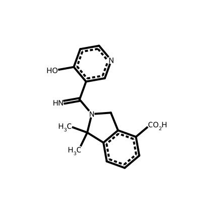 CC1(C)c2cccc(C(=O)O)c2CN1C(=N)c1cnccc1O